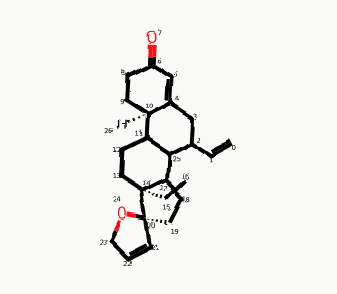 C=CC1CC2=CC(=O)CC[C@@H]2C2CC[C@@]3(CC)C(CC[C@@]34C=CCO4)C12